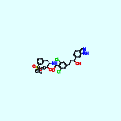 COC(=O)[C@H](Cc1cccc(S(C)(=O)=O)c1)NC(=O)c1c(Cl)cc(CCC(O)c2ccc3cn[nH]c3c2)cc1Cl